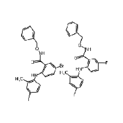 Cc1cc(I)ccc1Nc1ccc(Br)cc1C(=O)NOCc1ccccc1.Cc1cc(I)ccc1Nc1ccc(F)cc1C(=O)NOCc1ccccc1